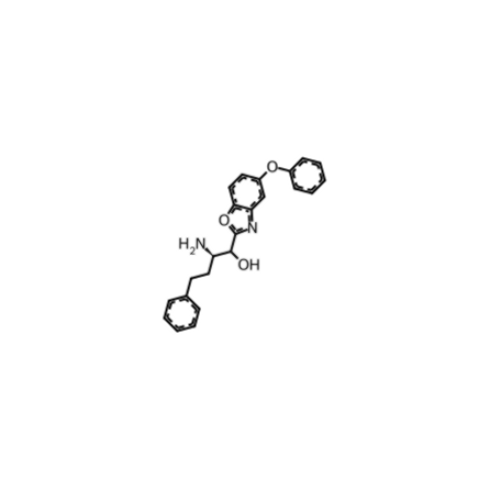 N[C@H](CCc1ccccc1)C(O)c1nc2cc(Oc3ccccc3)ccc2o1